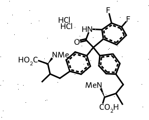 CN[C@H](C(=O)O)C(C)Cc1ccc(C2(c3ccc(CC(C)[C@H](NC)C(=O)O)cc3)C(=O)Nc3c2ccc(F)c3F)cc1.Cl.Cl